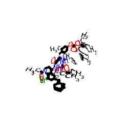 CC(=O)N1CC[C@@H](NC(=O)[C@H](Cc2c(C)cc(OC(=O)OC(C)(C)C)cc2C)NC(=O)OC(C)(C)C)c2cc(Cc3ccccc3)cc(Br)c21